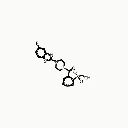 CCS(=O)(=O)c1ccccc1C(=O)N1CCN(c2nc3cc(F)ccc3s2)CC1